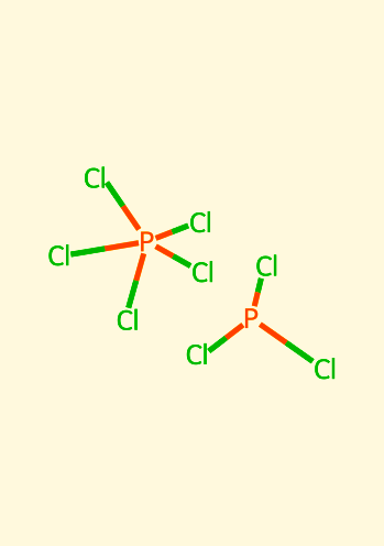 ClP(Cl)(Cl)(Cl)Cl.ClP(Cl)Cl